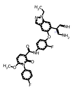 CCn1ncc2cc(Oc3ccc(NC(=O)c4ccc(OC)n(-c5ccc(F)cc5)c4=O)cc3F)c(/C(C=N)=C/N)cc21